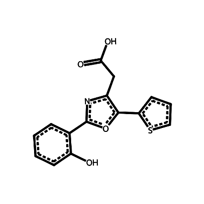 O=C(O)Cc1nc(-c2ccccc2O)oc1-c1cccs1